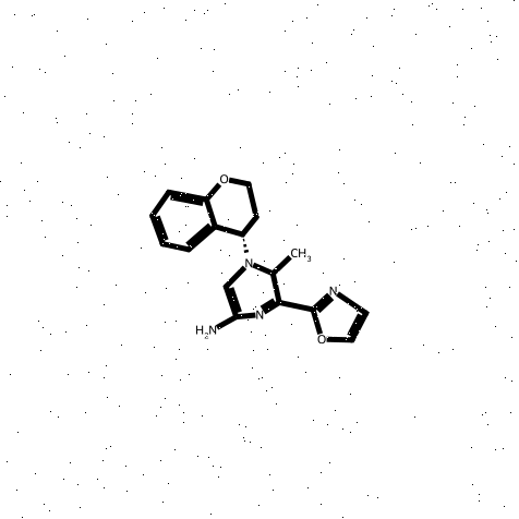 CC1C(c2ncco2)=NC(N)=CN1[C@H]1CCOc2ccccc21